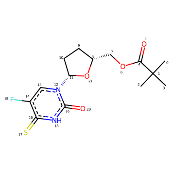 CC(C)(C)C(=O)OC[C@H]1CC[C@@H](n2cc(F)c(=S)[nH]c2=O)O1